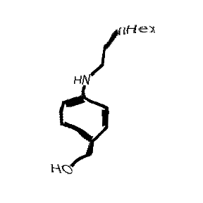 CCCCCCCCNc1ccc(CO)cc1